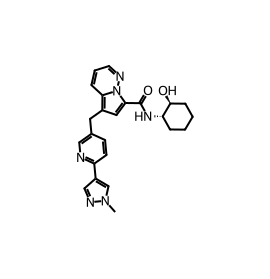 Cn1cc(-c2ccc(Cc3cc(C(=O)N[C@H]4CCCC[C@@H]4O)n4ncccc34)cn2)cn1